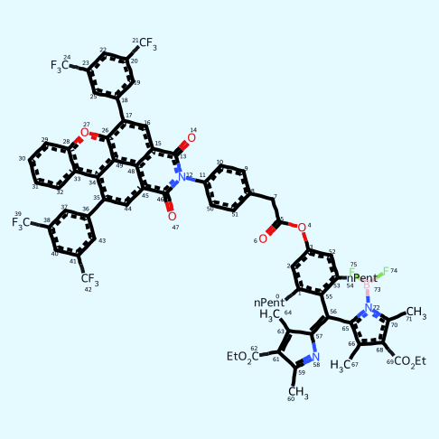 CCCCCc1cc(OC(=O)Cc2ccc(-n3c(=O)c4cc(-c5cc(C(F)(F)F)cc(C(F)(F)F)c5)c5oc6ccccc6c6c(-c7cc(C(F)(F)F)cc(C(F)(F)F)c7)cc(c3=O)c4c56)cc2)cc(CCCCC)c1/C(=C1/N=C(C)C(C(=O)OCC)=C1C)c1c(C)c(C(=O)OCC)c(C)n1B(F)F